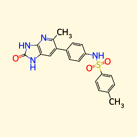 Cc1ccc(S(=O)(=O)Nc2ccc(-c3cc4[nH]c(=O)[nH]c4nc3C)cc2)cc1